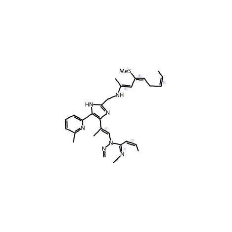 C=NN(/C=C(\C)c1nc(CN/C(C)=C/C(=C\C/C=C\C)SC)[nH]c1-c1cccc(C)n1)C(/C=C\C)=N\C